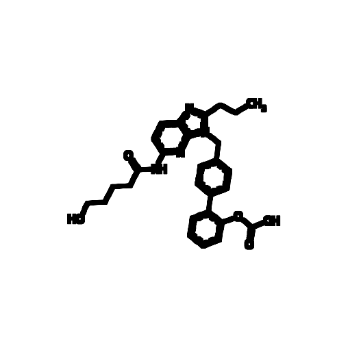 CCCc1nc2ccc(NC(=O)CCCCO)nc2n1Cc1ccc(-c2ccccc2OC(=O)O)cc1